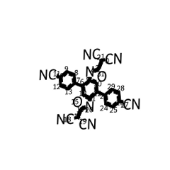 N#CC(C#N)=c1nc2c(-c3ccc(C#N)cc3)c3oc(=C(C#N)C#N)nc3c(-c3ccc(C#N)cc3)c2o1